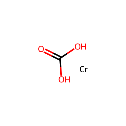 O=C(O)O.[Cr]